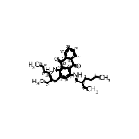 CCCCC(CC)CNc1cc(CC(CC)CCCC)c(N)c2c1C(=O)c1ccccc1C2=O